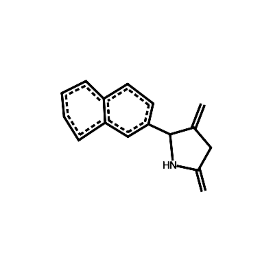 C=C1CC(=C)C(c2ccc3ccccc3c2)N1